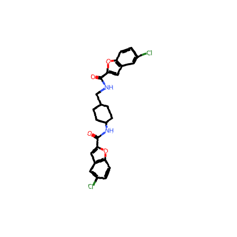 O=C(NCC1CCC(NC(=O)c2cc3cc(Cl)ccc3o2)CC1)c1cc2cc(Cl)ccc2o1